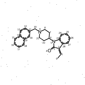 CC=C1C(=O)N(C2CCN(Cc3ccc4ccccc4c3)CC2)c2ccccc21